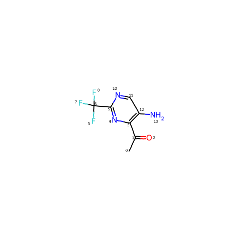 CC(=O)c1nc(C(F)(F)F)ncc1N